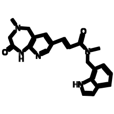 CN1CC(=O)Nc2ncc(C=CC(=O)N(C)Cc3cccc4cc[nH]c34)cc2C1